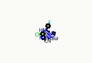 CC(C)(C)CNc1c(C#N)cnc2c(Cl)cc(NC(c3ccc(F)cc3)c3cn(C4(C(F)(F)F)CCC4)nn3)cc12